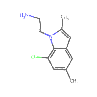 Cc1cc(Cl)c2c(c1)cc(C)n2CCN